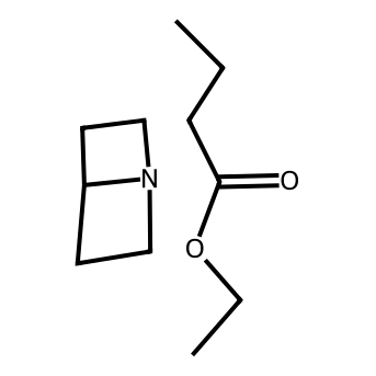 C1CN2CCC12.CCCC(=O)OCC